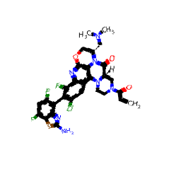 C=CC(=O)N1CCN2c3c4c(nc5c(F)c(-c6c(F)cc(F)c7sc(N)nc67)c(Cl)cc35)OC[C@H](CN(C)C)N4C(=O)[C@H]2C1